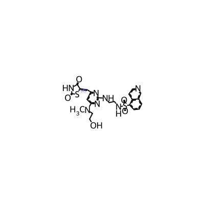 CN(CCO)c1cc(/C=C2\SC(=O)NC2=O)nc(NCCNS(=O)(=O)c2cccc3cnccc23)n1